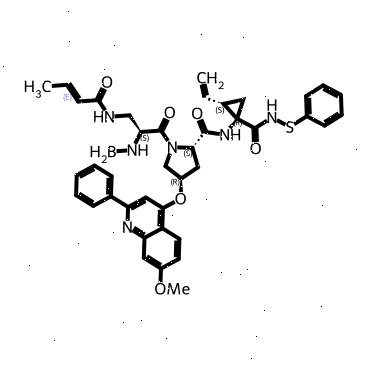 BN[C@@H](CNC(=O)/C=C/C)C(=O)N1C[C@H](Oc2cc(-c3ccccc3)nc3cc(OC)ccc23)C[C@H]1C(=O)N[C@]1(C(=O)NSc2ccccc2)C[C@H]1C=C